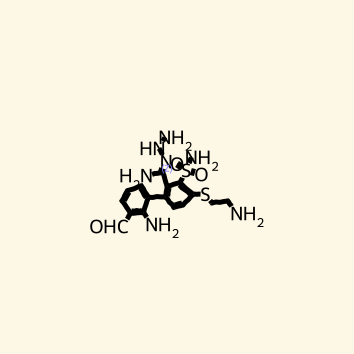 NCCSc1ccc(-c2cccc(C=O)c2N)c(/C(N)=N/NN)c1S(N)(=O)=O